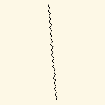 C=CCCCCCCCCCCCCCCCC=CCCCCCCCCCCCCCCCC